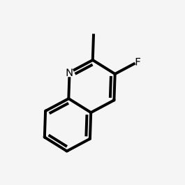 Cc1nc2ccccc2cc1F